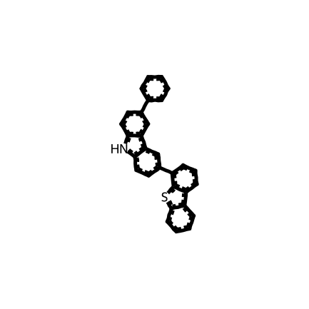 c1ccc(-c2ccc3[nH]c4ccc(-c5cccc6c5sc5ccccc56)cc4c3c2)cc1